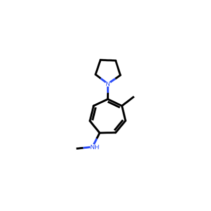 CNC1C=CC(C)=C(N2CCCC2)C=C1